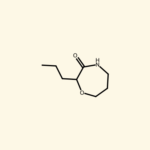 CCCC1OCCCNC1=O